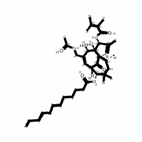 CCCCCCCCCCCC(=O)O[C@@H]1[C@@H]2C=C(COC(C)=O)[C@@H](O)[C@]3(O)[C@@H](OC(=O)C(C)C(C)C)C(C)=C[C@@]3(C2=O)[C@H](C)CC1(C)C